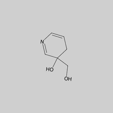 OCC1(O)C=NC=CC1